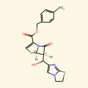 O=C(OCc1ccc([N+](=O)[O-])cc1)C1=CS[C@H]2N1C(=O)[C@@]2(Br)C(O)c1cn2c(n1)SCC2